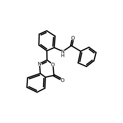 O=C(Nc1ccccc1-c1nc2ccccc2c(=O)o1)c1ccccc1